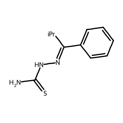 CC(C)C(=NNC(N)=S)c1ccccc1